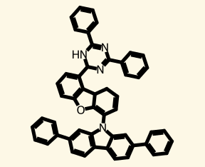 C1=CC(n2c3cc(-c4ccccc4)ccc3c3ccc(-c4ccccc4)cc32)=C2Oc3cccc(C4N=C(c5ccccc5)N=C(c5ccccc5)N4)c3C2C1